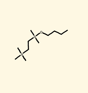 CCCCO[Si](C)(C)CC[Si](C)(C)C